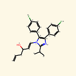 C=CCC(O)/C=C/n1c(C(C)C)nc(-c2ccc(F)cc2)c1-c1ccc(F)cc1